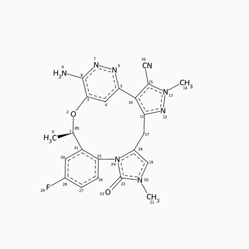 C[C@H]1Oc2cc(nnc2N)-c2c(nn(C)c2C#N)Cc2cn(C)c(=O)n2-c2ccc(F)cc21